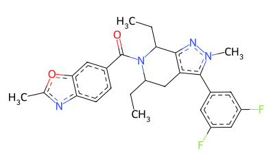 CCC1Cc2c(nn(C)c2-c2cc(F)cc(F)c2)C(CC)N1C(=O)c1ccc2nc(C)oc2c1